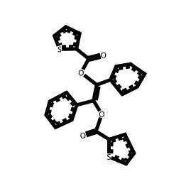 O=C(O/C(=C(/OC(=O)c1cccs1)c1ccccc1)c1ccccc1)c1cccs1